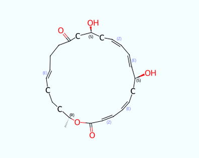 C[C@@H]1CCC/C=C/CCC(=O)C[C@@H](O)C/C=C\C=C\[C@@H](O)C/C=C/C=C\C(=O)O1